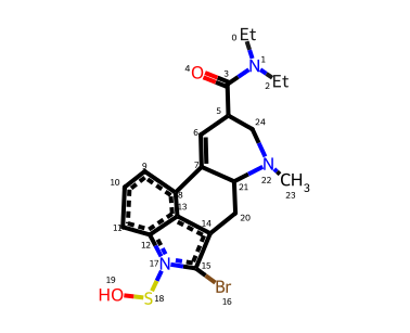 CCN(CC)C(=O)C1C=C2c3cccc4c3c(c(Br)n4SO)CC2N(C)C1